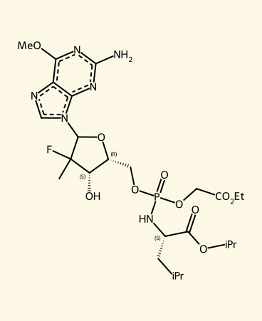 CCOC(=O)COP(=O)(N[C@@H](CC(C)C)C(=O)OC(C)C)OC[C@H]1OC(n2cnc3c(OC)nc(N)nc32)C(C)(F)[C@H]1O